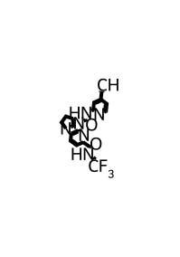 C#Cc1ccnc(NC(=O)N2c3nc(C(=O)NCC(F)(F)F)ccc3N3CCC2C3)c1